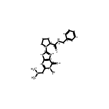 CC(C)n1c(CN(C)C)nc2sc(N3CCCC3C(=O)NCc3ccccc3)nc2c1=O